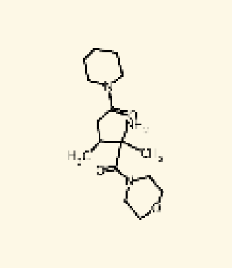 CC(CC(=O)N1CCCCC1)C(C)(N)C(=O)N1CCOCC1